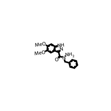 COc1cc2[nH]nc(C(=O)N(N)Cc3ccccc3)c2cc1OC